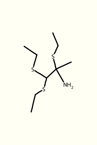 CCSC(SCC)C(C)(N)SCC